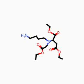 CCOC(=O)CC(C(=O)OCC)N(CCCCN)CC(=O)OCC